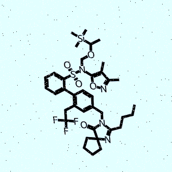 CCCCC1=NC2(CCCC2)C(=O)N1Cc1ccc(-c2ccccc2S(=O)(=O)N(COC(C)[Si](C)(C)C)c2onc(C)c2C)c(CC(F)(F)F)c1